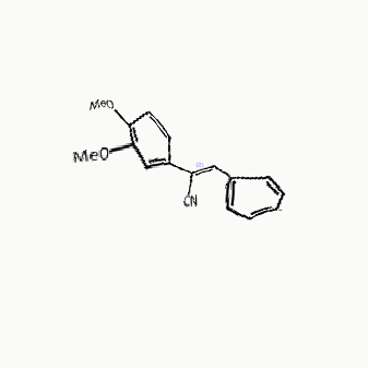 COc1ccc(/C(C#N)=C/c2cc[c]cc2)cc1OC